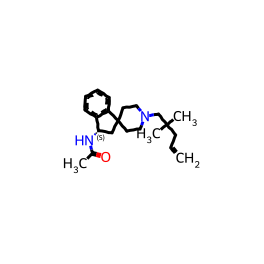 C=CCC(C)(C)CN1CCC2(CC1)C[C@H](NC(C)=O)c1ccccc12